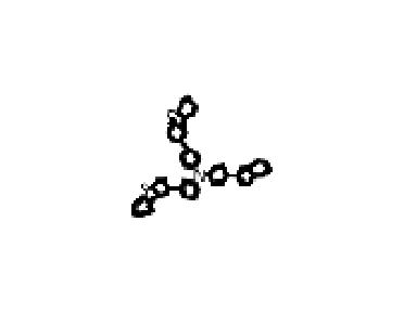 c1cc(-c2ccc3sc4ccccc4c3c2)cc(N(c2ccc(-c3ccc4ccccc4c3)cc2)c2ccc(-c3ccc4sc5ccccc5c4c3)cc2)c1